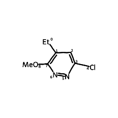 CCc1cc(Cl)nnc1OC